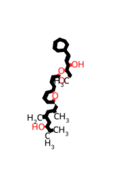 C=C(CC(C)C[C@@H]1CC=CC(C/C=C\C(=O)OC(CC)C(O)/C=C/C2CC=CCCC2)O1)C[C@H](O)C(C)C